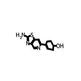 Nc1nc2cnc(C3=CCC(O)CC3)cc2s1